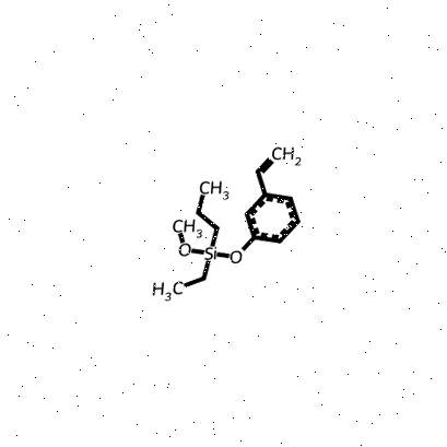 C=Cc1cccc(O[Si](CC)(CCC)OC)c1